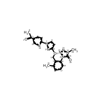 CC(=O)c1ccc(-n2ccc(OCc3c(C)cccc3-n3nnn(C)c3=O)n2)nc1